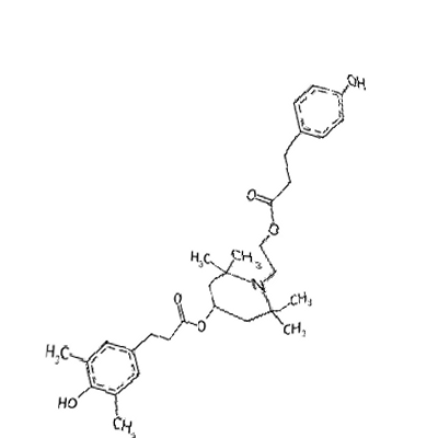 Cc1cc(CCC(=O)OC2CC(C)(C)N(CCOC(=O)CCc3ccc(O)cc3)C(C)(C)C2)cc(C)c1O